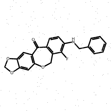 O=C1c2cc3c(cc2OCc2c1ccc(NCc1ccccc1)c2F)OCO3